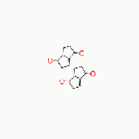 O=C1CCC2C(=O)CC=C12.O=C1CCC2C(=O)CC=C12